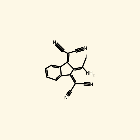 N#CC(C#N)=C1C(=C(N)I)C(=C(C#N)C#N)c2ccccc21